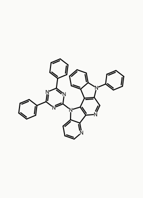 c1ccc(-c2nc(-c3ccccc3)nc(-n3c4cccnc4c4ncc5c(c6ccccc6n5-c5ccccc5)c43)n2)cc1